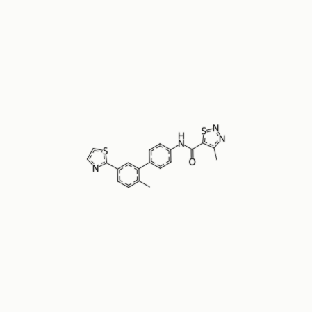 Cc1ccc(-c2nccs2)cc1-c1ccc(NC(=O)c2snnc2C)cc1